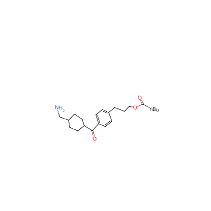 CCCCC(=O)OCCCc1ccc(C(=O)C2CCC(CN)CC2)cc1